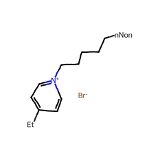 CCCCCCCCCCCCCC[n+]1ccc(CC)cc1.[Br-]